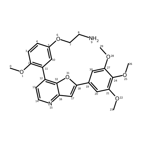 COc1ccc(OCCN)cc1-c1ccnc2cc(-c3cc(OC)c(OC)c(OC)c3)oc12